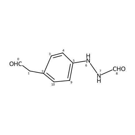 O=CCc1ccc(NNC=O)cc1